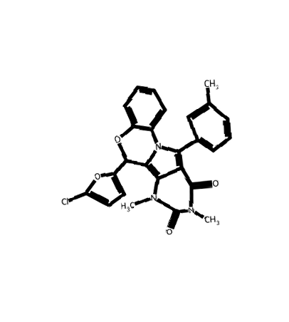 Cc1cccc(-c2c3c(=O)n(C)c(=O)n(C)c3c3n2-c2ccccc2OC3c2ccc(Cl)o2)c1